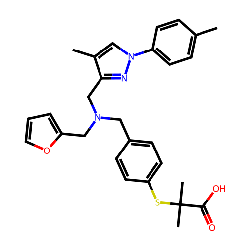 Cc1ccc(-n2cc(C)c(CN(Cc3ccc(SC(C)(C)C(=O)O)cc3)Cc3ccco3)n2)cc1